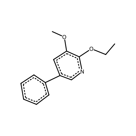 CCOc1ncc(-c2ccccc2)cc1OC